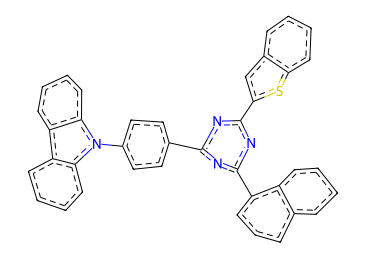 c1ccc2sc(-c3nc(-c4ccc(-n5c6ccccc6c6ccccc65)cc4)nc(-c4cccc5ccccc45)n3)cc2c1